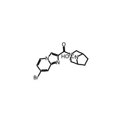 O=C(c1cn2ccc(Br)cc2n1)N1CC2CCC(C1)N2C(=O)O